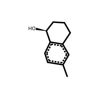 Cc1ccc2c(c1)CCC[C@@H]2O